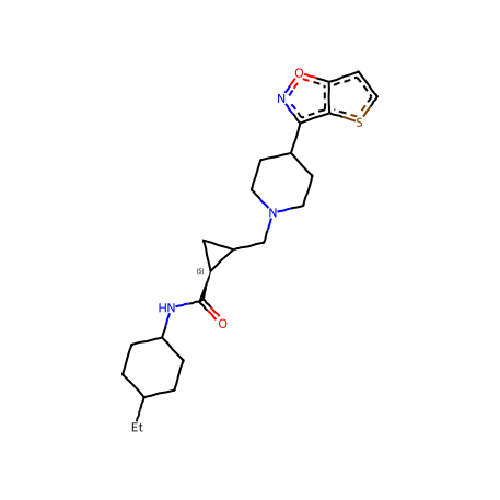 CCC1CCC(NC(=O)[C@H]2CC2CN2CCC(c3noc4ccsc34)CC2)CC1